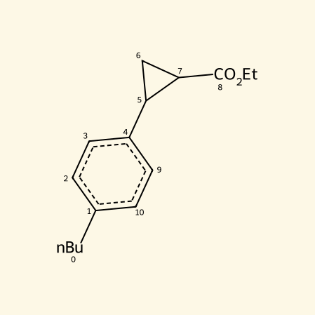 CCCCc1ccc(C2CC2C(=O)OCC)cc1